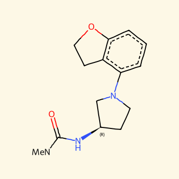 CNC(=O)N[C@@H]1CCN(c2cccc3c2CCO3)C1